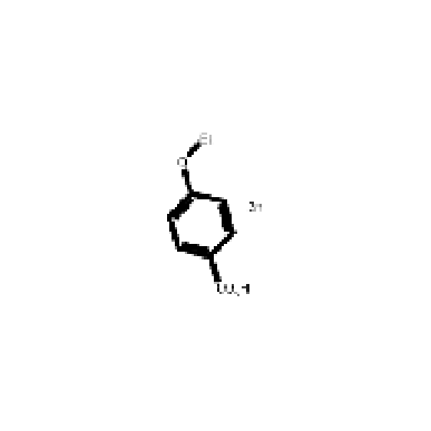 CCOc1ccc(C(=O)O)cc1.[Zn]